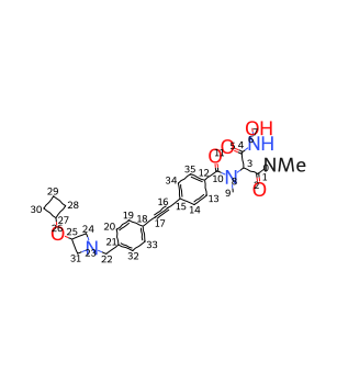 CNC(=O)C(C(=O)NO)N(C)C(=O)c1ccc(C#Cc2ccc(CN3CC(OC4CCC4)C3)cc2)cc1